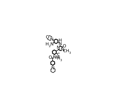 Cc1c(NC(=O)c2ccc(N3CCCCC3)cc2)cccc1-c1cn(C)c(=O)c(Nc2ccc(N3CCOCC3)c(N)c2)n1